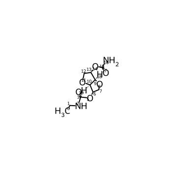 CCNC(=O)OC1CO[C@H]2[C@@H]1OC[C@H]2OC(N)=O